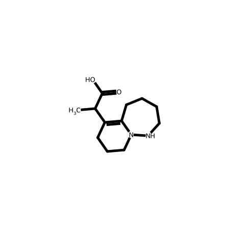 CC(C(=O)O)C1=C2CCCCNN2CCC1